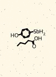 CCCCC(=O)O.Oc1cc[c]([SbH2])cc1